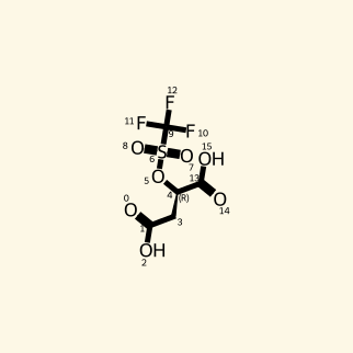 O=C(O)C[C@@H](OS(=O)(=O)C(F)(F)F)C(=O)O